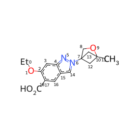 CCOc1cc2nn(C34COC(C)(C3)C4)cc2cc1C(=O)O